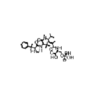 CN[C@H](C(=O)NC(C(=O)N(C)[C@H](/C=C(\C)C(=O)N[C@@H](COP(=O)(O)O)C(=O)O)C(C)C)C(C)(C)C)C(C)(C)c1ccccc1